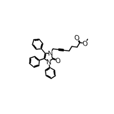 COC(=O)CCCC#CCn1c(-c2ccccc2)c(-c2ccccc2)n(-c2ccccc2)c1=O